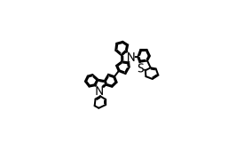 C1=CCC2Sc3c(cccc3-n3c4ccccc4c4cc(-c5ccc6c(c5)c5ccccc5n6C5=CCCC=C5)ccc43)C2=C1